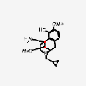 COc1ccc2c(c1O)C13CCN(CC4CC4)C(C2)C1CC(OC)C(N)C3